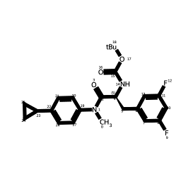 CN(C(=O)[C@H](Cc1cc(F)cc(F)c1)NC(=O)OC(C)(C)C)c1ccc(C2CC2)cc1